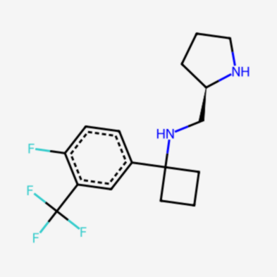 Fc1ccc(C2(NC[C@H]3CCCN3)CCC2)cc1C(F)(F)F